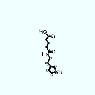 O=C(O)CCCC(=O)NCCc1cc[nH]c1